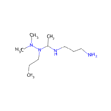 CCCN([C](C)NCCCN)N(C)C